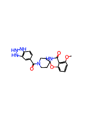 COc1cccc2c1C(=O)NC1(CCN(C(=O)c3ccc4c(c3)NNN4)CC1)O2